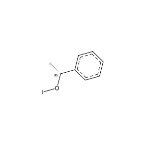 C[C@@H](OI)c1ccccc1